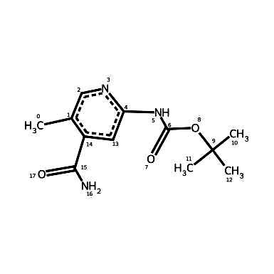 Cc1cnc(NC(=O)OC(C)(C)C)cc1C(N)=O